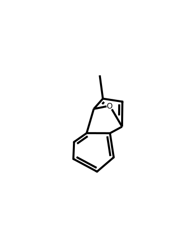 Cc1cc2oc1c1ccccc21